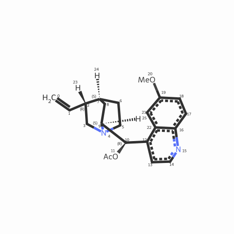 C=C[C@H]1CN2CC[C@H]1C[C@H]2[C@H](OC(C)=O)c1ccnc2ccc(OC)cc12